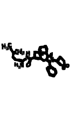 C=C(/C=C\C=C(/N)NC(=O)c1cccc(Cc2c(-c3ccccn3)nn(C3CCS(=O)(=O)C3)c2-c2ccccc2)c1)CC